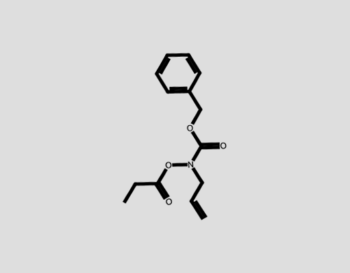 C=CCN(OC(=O)CC)C(=O)OCc1ccccc1